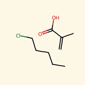 C=C(C)C(=O)O.CCCCCCl